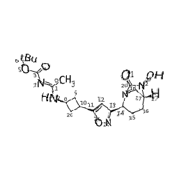 C/C(=N\C(=O)OC(C)(C)C)N[C@H]1C[C@@H](c2cc([C@@H]3CC[C@@H]4CN3C(=O)N4O)no2)C1